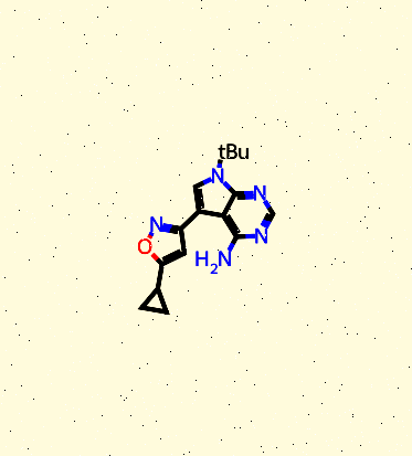 CC(C)(C)n1cc(-c2cc(C3CC3)on2)c2c(N)ncnc21